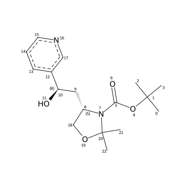 CC(C)(C)OC(=O)N1[C@@H](C[C@@H](O)c2cccnc2)COC1(C)C